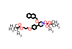 CC(C)(C)OC(=O)ON1CCC(c2ccc(OCCCOC(=O)C(C)(C)C)cc2)C(OCc2ccc3ccccc3c2)C1